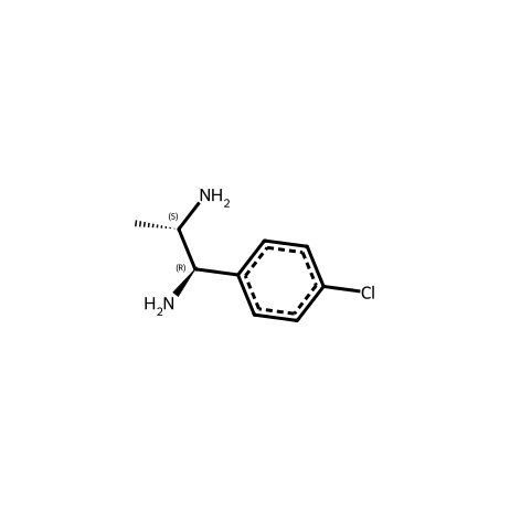 C[C@H](N)[C@H](N)c1ccc(Cl)cc1